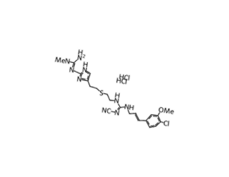 CNC(N)=Nc1nc(CCSCCNC(=NC#N)NCC=Cc2ccc(Cl)c(OC)c2)c[nH]1.Cl.Cl